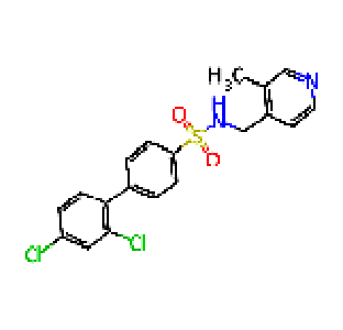 Cc1cnccc1CNS(=O)(=O)c1ccc(-c2ccc(Cl)cc2Cl)cc1